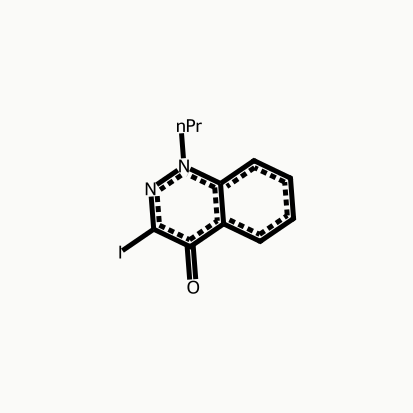 CCCn1nc(I)c(=O)c2ccccc21